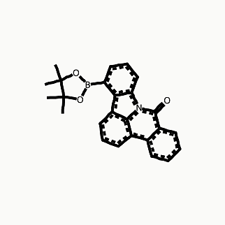 CC1(C)OB(c2cccc3c2c2cccc4c5ccccc5c(=O)n3c42)OC1(C)C